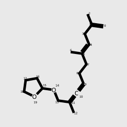 C=C(C)C/C=C(\C)CCC=C=C(C)COC1CCCO1